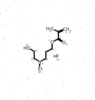 C=C(C)C(=O)OCCCN(CC)CCO.F